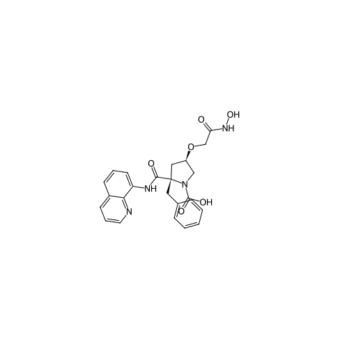 O=C(CO[C@H]1CN(C(=O)O)[C@](Cc2ccccc2)(C(=O)Nc2cccc3cccnc23)C1)NO